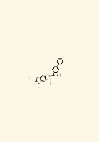 CCN1C(=O)C(C)(C)c2cc3nc(-c4n[nH]c5cc(-c6ccc(C(C)=O)cc6)ccc45)[nH]c3cc21